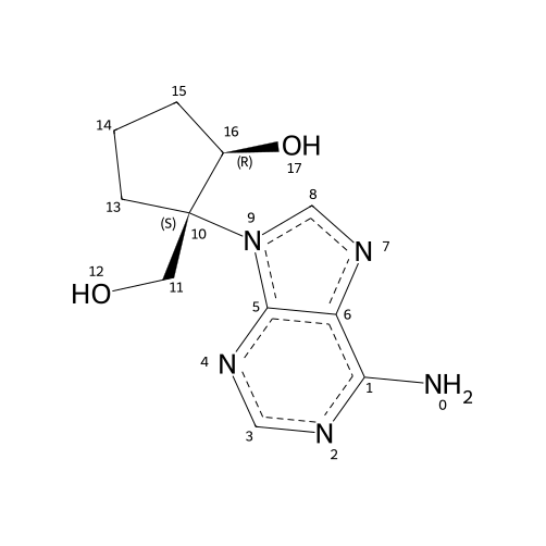 Nc1ncnc2c1ncn2[C@]1(CO)CCC[C@H]1O